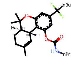 CCCCC(F)(F)c1cc(OC(=O)NCCC)c2c(c1)OC(C)(C)[C@@H]1CCC(C)=C[C@@H]21